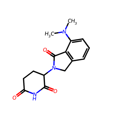 CN(C)c1cccc2c1C(=O)N(C1CCC(=O)NC1=O)C2